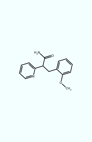 COc1ccccc1CC(C(N)=O)c1ccccn1